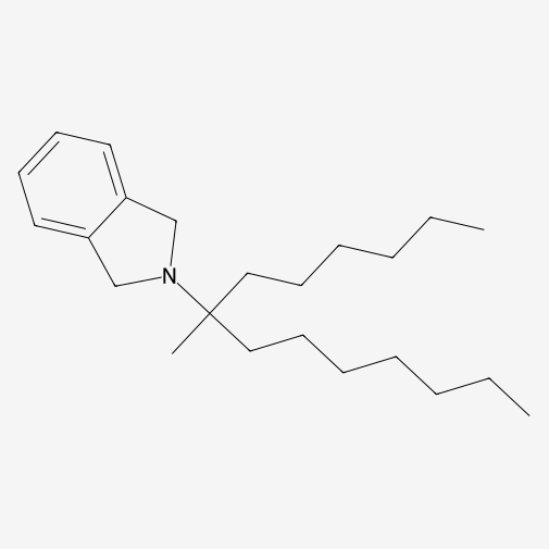 CCCCCCCC(C)(CCCCCC)N1Cc2ccccc2C1